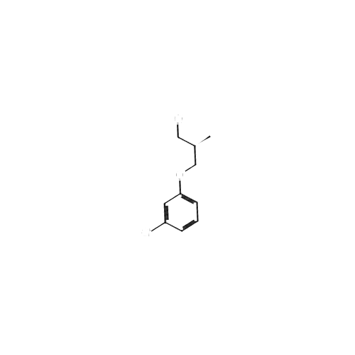 C[C@H](CCl)COc1cccc(Cl)c1